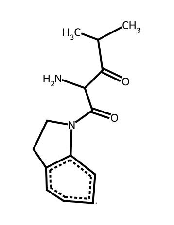 CC(C)C(=O)C(N)C(=O)N1CCc2cc[c]cc21